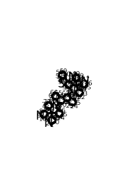 c1cncc(C2(c3ccncc3)c3ccccc3N(c3cc4c5ccccc5c(N5c6ccccc6C(c6cccnc6)(c6cccnc6)c6cc7c(cc65)sc5ccccc57)cc4c4ccccc34)c3ccccc32)c1